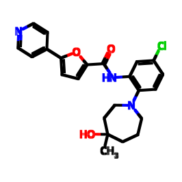 CC1(O)CCCN(c2ccc(Cl)cc2NC(=O)c2ccc(-c3ccncc3)o2)CC1